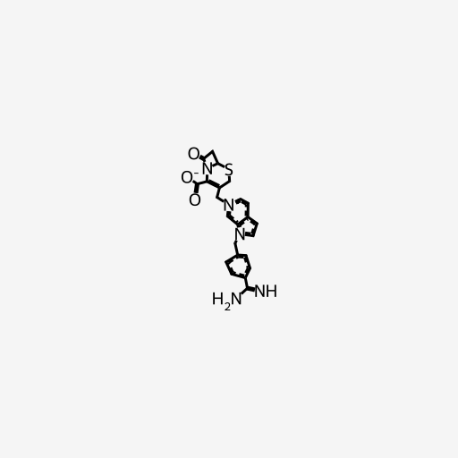 N=C(N)c1ccc(Cn2ccc3cc[n+](CC4=C(C(=O)[O-])N5C(=O)CC5SC4)cc32)cc1